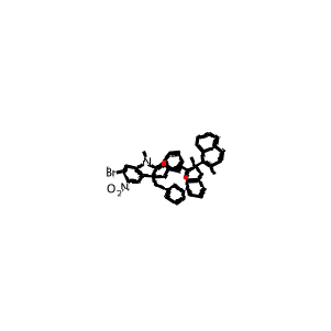 C=C(/C=C/C=C1/N(C)c2cc(Br)c([N+](=O)[O-])cc2C1(Cc1ccccc1)Cc1ccccc1)C(C)(Cc1ccccc1)c1c(C)ccc2ccccc12